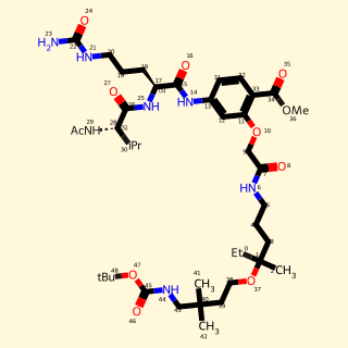 CCC(C)(CCCNC(=O)COc1cc(NC(=O)[C@H](CCCNC(N)=O)NC(=O)[C@@H](NC(C)=O)C(C)C)ccc1C(=O)OC)OCCC(C)(C)CNC(=O)OC(C)(C)C